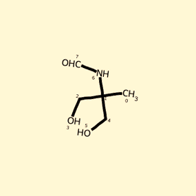 CC(CO)(CO)NC=O